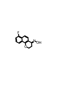 ON=C1CCOc2c1ccc1c(F)cccc21